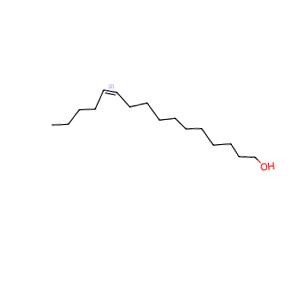 CCCC/C=C\CCCCCCCCCCO